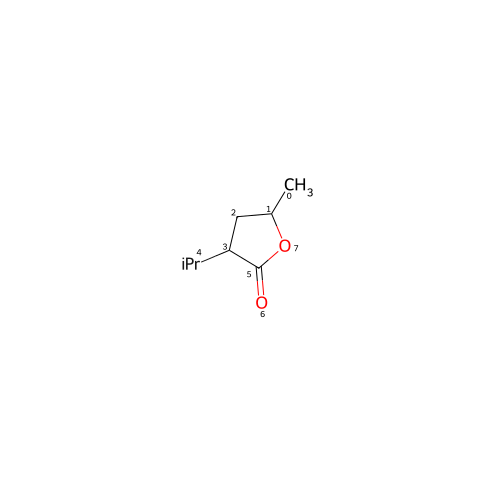 CC1CC(C(C)C)C(=O)O1